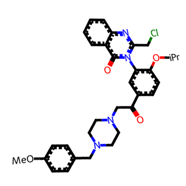 COc1ccc(CN2CCN(CC(=O)c3ccc(OC(C)C)c(-n4c(CCl)nc5ccccc5c4=O)c3)CC2)cc1